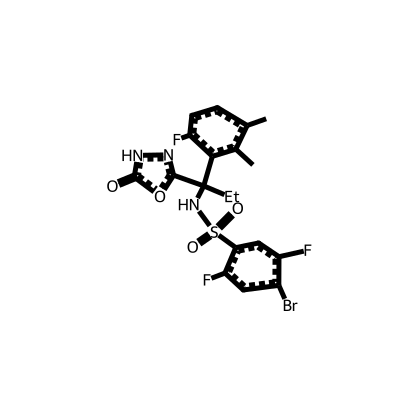 CCC(NS(=O)(=O)c1cc(F)c(Br)cc1F)(c1n[nH]c(=O)o1)c1c(F)ccc(C)c1C